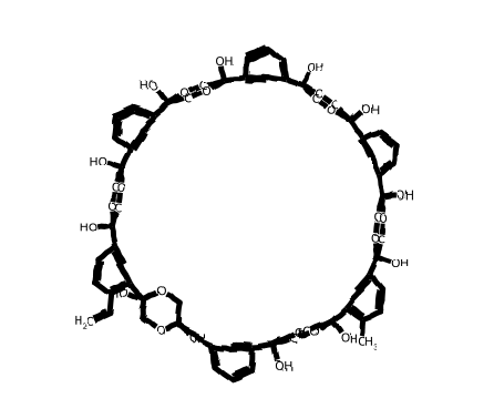 C=Cc1ccc2cc1C1(O)COC(O)(CO1)c1cccc(c1)C1(O)COC(O)(CO1)c1cc(ccc1C)C1(O)COC(O)(CO1)c1cccc(c1)C1(O)COC(O)(CO1)c1cc#cc(c1)C1(O)COC(O)(CO1)C1=C=C=CC(=C1)C1(O)COC2(O)CO1